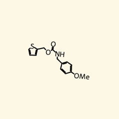 COc1ccc(CNC(=O)OCc2cccs2)cc1